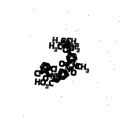 CC(OC(=O)c1ccc2c(c1)c(=O)n(-c1ccc(C[C@H](NC(=O)c3c(Cl)cccc3Cl)C(=O)O)cc1)c(=O)n2C)[Si](C)(C)C